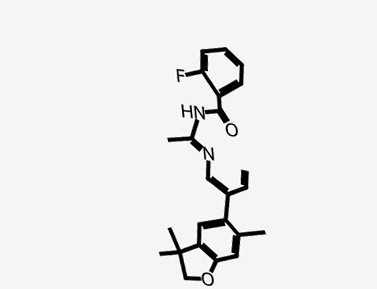 C=C/C(=C\N=C(/C)NC(=O)c1ccccc1F)c1cc2c(cc1C)OCC2(C)C